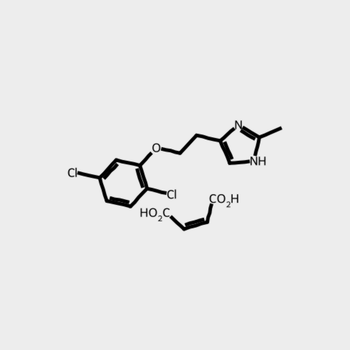 Cc1nc(CCOc2cc(Cl)ccc2Cl)c[nH]1.O=C(O)/C=C\C(=O)O